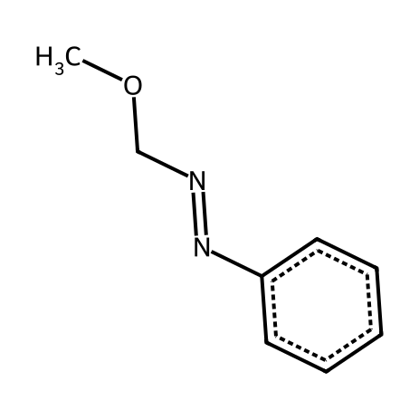 COC/N=N/c1ccccc1